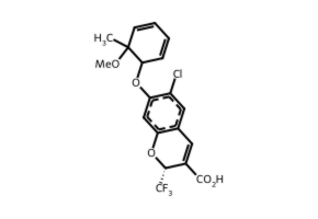 COC1(C)C=CC=CC1Oc1cc2c(cc1Cl)C=C(C(=O)O)[C@H](C(F)(F)F)O2